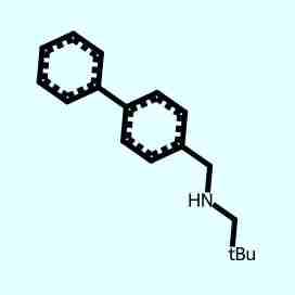 CC(C)(C)CNCc1ccc(-c2ccccc2)cc1